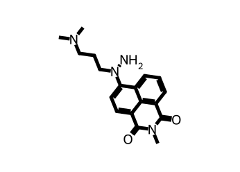 CN(C)CCCN(N)c1ccc2c3c(cccc13)C(=O)N(C)C2=O